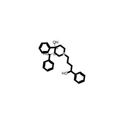 OC(CCCN1CC[C@](O)(c2ccccc2)[C@@H](C(O)c2ccccc2)C1)c1ccccc1